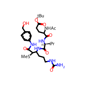 CSC(C(=O)Nc1ccc(CO)cc1)C(CCCNC(N)=O)NC(=O)[C@@H](NC(=O)C(CCC(=O)OC(C)(C)C)NC(C)=O)C(C)C